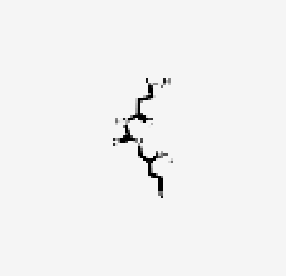 NC(CCBr)COC(=O)NC(=O)CCC(=O)O